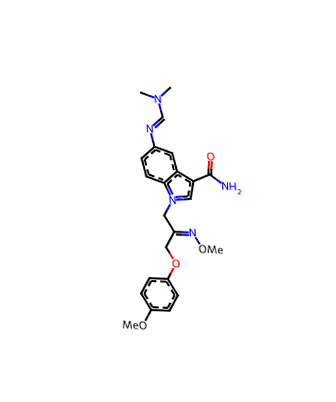 CON=C(COc1ccc(OC)cc1)Cn1cc(C(N)=O)c2cc(N=CN(C)C)ccc21